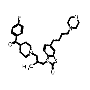 CC(CN1CCC(C(=O)c2ccc(F)cc2)CC1)Cn1c(=O)sc2cc(CCCCN3CCOCC3)ccc21